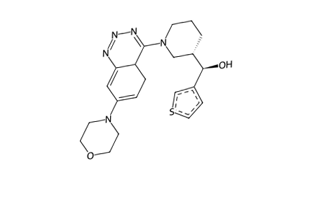 O[C@@H](c1ccsc1)[C@H]1CCCN(C2=NN=NC3=CC(N4CCOCC4)=CCC32)C1